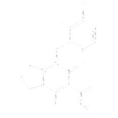 COC(=O)C1=C(O)[C@@]2(C)CCCN2N(Cc2cccc(F)c2Br)C1=O